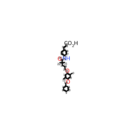 Cc1cc(OCc2ccccc2)c(C)cc1OCCCC(C)(C)C(=O)Nc1ccc(C=CC(=O)O)cc1